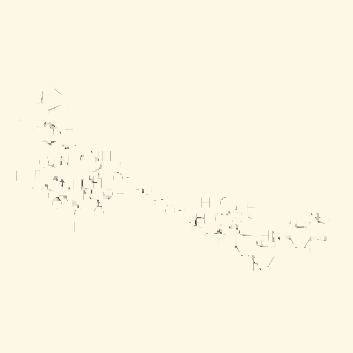 C[C@@H](C(=O)N[C@H](C(=O)N1C[C@@H](NC(=O)COCCOCCOCCOCCOc2cc3nccc(Nc4ccc5scnc5c4)c3cc2S(=O)(=O)C(C)(C)C)C[C@H]1C(=O)N[C@@H]1CCCc2ccccc21)C(C)(C)C)N(C)C(=O)O